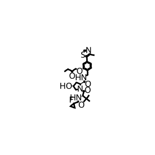 CCC(=O)COc1cc(-c2scnc2C)ccc1CNC(=O)[C@@H]1C[C@@H](O)CN1C(=O)[C@@H](NC(=O)C1(F)CC1)C(C)(C)C